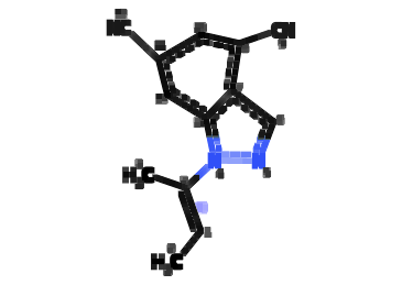 C/C=C(\C)n1ncc2c(C#N)cc(C#N)cc21